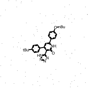 CCCCOc1ccc(-c2cc(-c3ccc(C(C)(C)C)cc3)c(-c3nnn[nH]3)c(=O)[nH]2)cc1